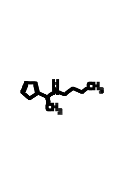 C=C(NCCCC)C1=CC=CC1